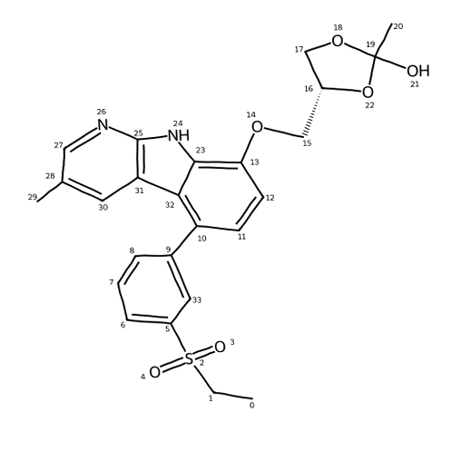 CCS(=O)(=O)c1cccc(-c2ccc(OC[C@@H]3COC(C)(O)O3)c3[nH]c4ncc(C)cc4c23)c1